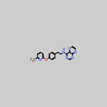 FC(F)(F)c1cccc(Oc2ccc(CCNc3ncnc4nccnc34)cc2)n1